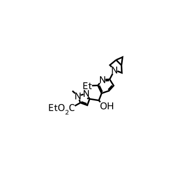 CCOC(=O)c1cc(C(O)c2ccc(N3CC4CC4C3)nc2CC)nn1C